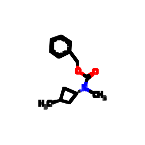 CN(C(=O)OCc1ccccc1)[C@H]1C[C@H](C)C1